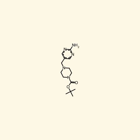 CC(C)(C)OC(=O)N1CCN(Cc2cnc(N)nc2)CC1